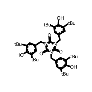 CC(C)(C)c1cc(Cn2c(=O)n(Cc3cc(C(C)(C)C)c(O)c(C(C)(C)C)c3)c(=O)n(Cc3cc(C(C)(C)C)c(O)c(C(C)(C)C)c3)c2=O)cc(C(C)(C)C)c1O